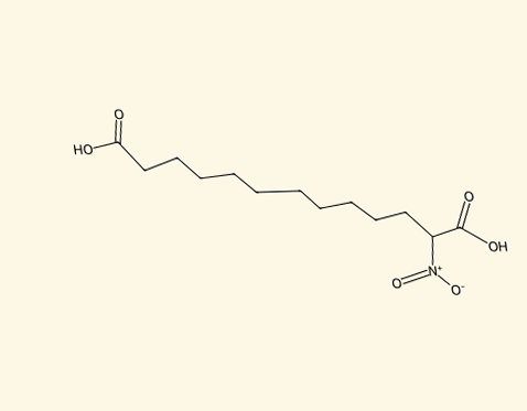 O=C(O)CCCCCCCCCCC(C(=O)O)[N+](=O)[O-]